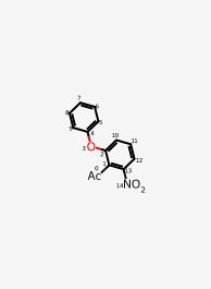 CC(=O)c1c(Oc2ccccc2)cccc1[N+](=O)[O-]